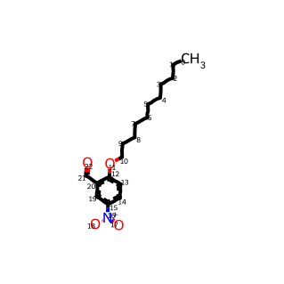 CCCCCCCCCCCOc1ccc([N+](=O)[O-])cc1C=O